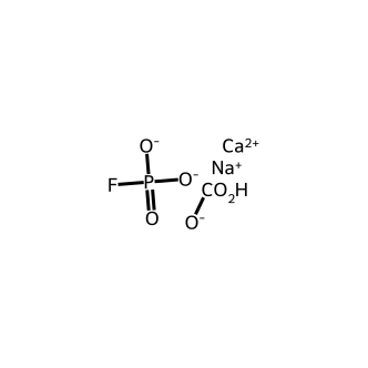 O=C([O-])O.O=P([O-])([O-])F.[Ca+2].[Na+]